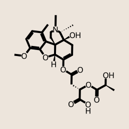 COc1ccc(C)c2c1O[C@H]1C(OC(=O)C[C@H](OC(=O)[C@H](C)O)C(=O)O)=CC[C@@]3(O)[C@@H](C)N(C)CC[C@]213